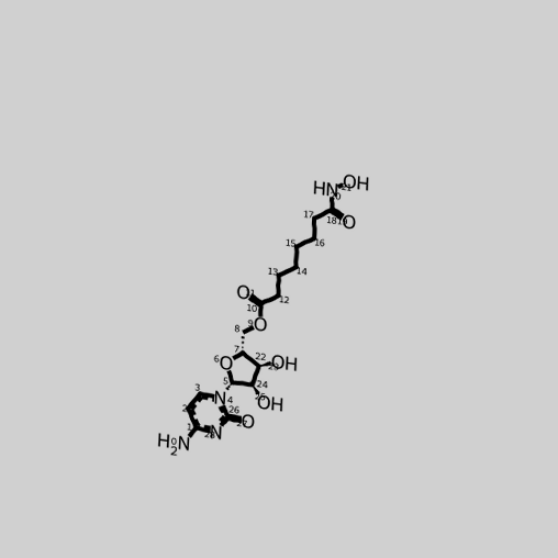 Nc1ccn([C@@H]2O[C@H](COC(=O)CCCCCCC(=O)NO)[C@@H](O)[C@H]2O)c(=O)n1